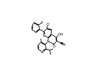 Cc1ccnc(C(C)C)c1-n1c(=O)c(C#N)c(O)c2cc(Cl)c(-c3ccccc3F)nc21